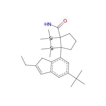 CCC1=Cc2cc(C(C)(C)C)cc(C34CCCC3(C([NH])=O)[Si](C)(C)[Si]4(C)C)c2C1